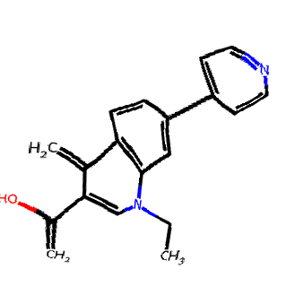 C=C(O)C1=CN(CC)c2cc(-c3ccncc3)ccc2C1=C